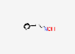 ON=CCCC#Cc1ccccc1